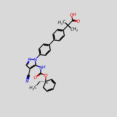 CC[C@]1(OC(=O)Nc2c(C#N)cnn2-c2ccc(-c3ccc(C(C)(C)C(=O)O)cc3)cc2)C=CC=CC1